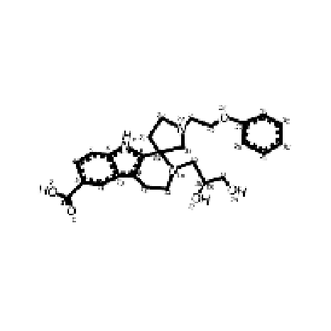 O=C(O)c1ccc2[nH]c3c(c2c1)CCN(C[C@H](O)CO)C31CCN(CCOc2ccccc2)C1